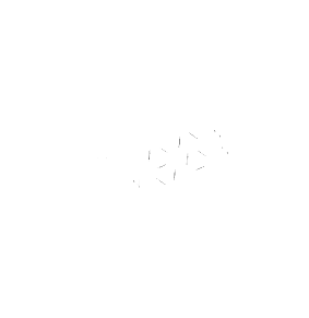 N#Cc1ccc2c3ccc(C#N)c4c(CCCC(=O)O)ccc(c5ccc(C#N)c1c25)c43